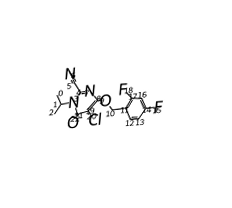 CC(C)n1c(C#N)nc(OCc2ccc(F)cc2F)c(Cl)c1=O